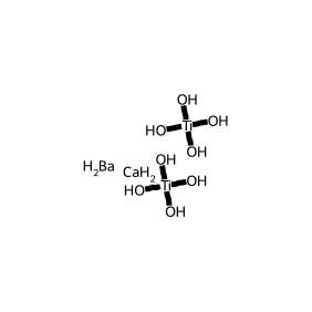 [BaH2].[CaH2].[OH][Ti]([OH])([OH])[OH].[OH][Ti]([OH])([OH])[OH]